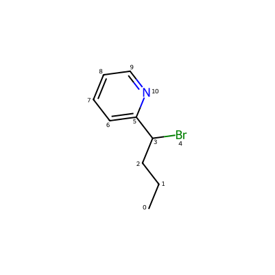 CCCC(Br)c1ccccn1